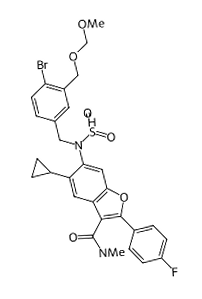 CNC(=O)c1c(-c2ccc(F)cc2)oc2cc(N(Cc3ccc(Br)c(COCOC)c3)[SH](=O)=O)c(C3CC3)cc12